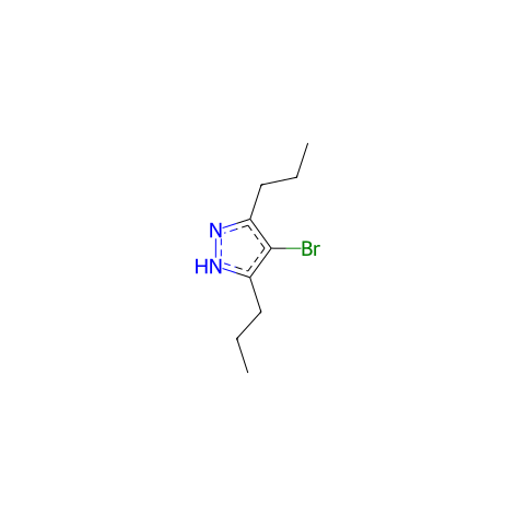 CCCc1n[nH]c(CCC)c1Br